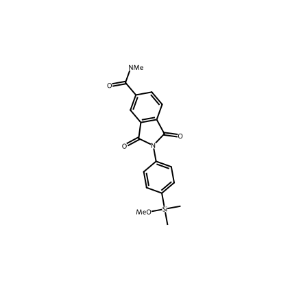 CNC(=O)c1ccc2c(c1)C(=O)N(c1ccc([Si](C)(C)OC)cc1)C2=O